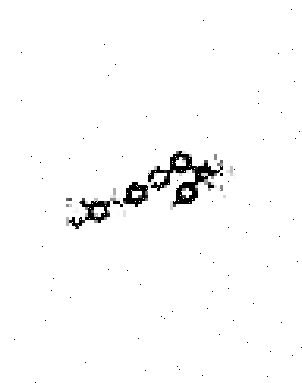 Cc1c(C2=CCCC(N3CCN(c4ccc(NNC5C=C([N+](=O)[O-])C(N)CC5)cc4)CC3)=C2)c(-c2ccc(F)cc2)n(C)c1C